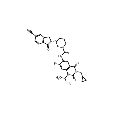 CC(C)n1c(=O)n(CC2CC2)c(=O)c2cc(NC(=O)N3CCC[C@@H](N4Cc5cc(C#N)ccc5C4=O)C3)c(F)cc21